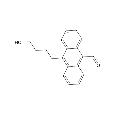 O=Cc1c2ccccc2c(CCCCO)c2ccccc12